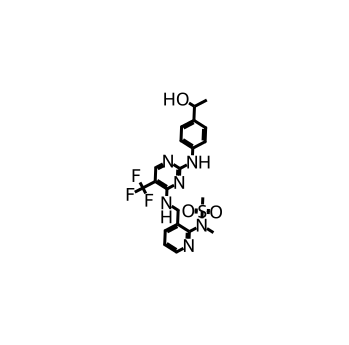 CC(O)c1ccc(Nc2ncc(C(F)(F)F)c(NCc3cccnc3N(C)S(C)(=O)=O)n2)cc1